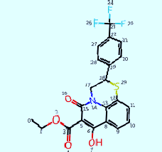 CCOC(=O)c1c(O)c2cccc3c2n(c1=O)CC(c1ccc(C(F)(F)F)cc1)S3